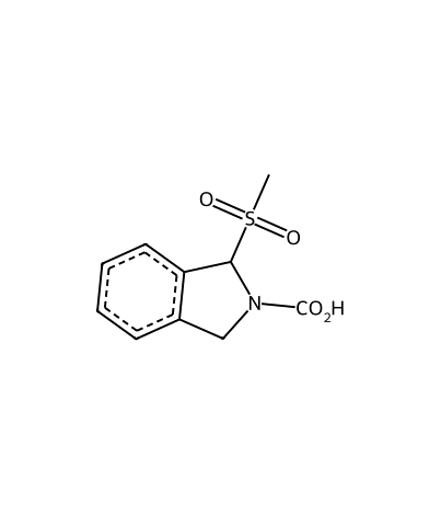 CS(=O)(=O)C1c2ccccc2CN1C(=O)O